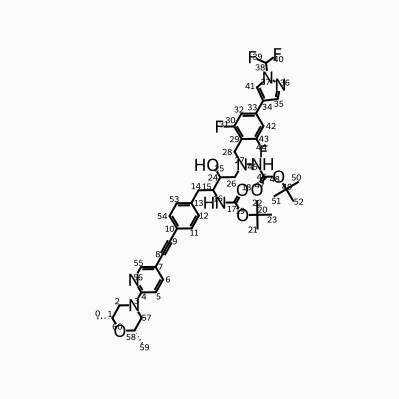 C[C@@H]1CN(c2ccc(C#Cc3ccc(CC(NC(=O)OC(C)(C)C)C(O)CN(Cc4c(F)cc(-c5cnn(C(F)F)c5)cc4F)NC(=O)OC(C)(C)C)cc3)cn2)C[C@H](C)O1